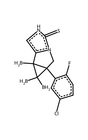 BC1(B)C2(B)c3c[nH]c(=S)n3CC12c1cc(Cl)ccc1F